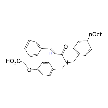 CCCCCCCCc1ccc(CN(Cc2ccc(OCC(=O)O)cc2)C(=O)/C=C/c2ccccc2)cc1